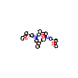 C1=CC(N(c2ccc(-c3cccc4c3oc3ccccc34)cc2)c2cccc3c2Oc2cc(N(c4ccc(-c5ccccc5)cc4)c4ccc(-c5cccc6c5oc5ccccc56)cc4)cc4cccc-3c24)CC=C1c1ccccc1